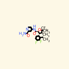 C=Cc1c([C@@H]2[C@@H](C(=O)Nc3ccnc(C(N)=O)c3)O[C@](C)(C(F)(F)F)[C@@H]2C)ccc(F)c1F